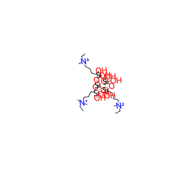 CC[N+](C)(C)CCC[Si](O)(O)O[Si]1(O[Si](O)(O)CCC[N+](C)(C)CC)O[Si](O)(O)O[Si](O)(CCC[N+](C)(C)CC)O1